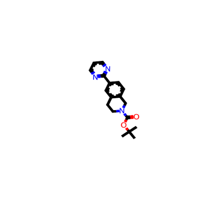 CC(C)(C)OC(=O)N1CCc2cc(-c3ncccn3)ccc2C1